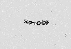 CC(C)(F)CN1CC2C(COc3ccc(-c4ccc(S(C)(=O)=O)cn4)cc3)C2C1